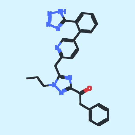 CCCn1nc(C(=O)Cc2ccccc2)nc1Cc1ccc(-c2ccccc2-c2nnn[nH]2)cn1